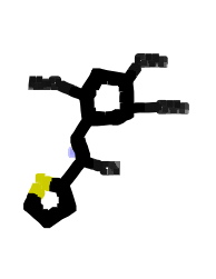 COc1cc(OC)c(OC)cc1/C=C(\C#N)c1cccs1